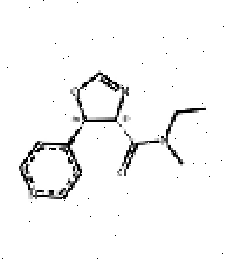 CCN(C)C(=O)[C@H]1N=CO[C@@H]1c1ccncc1